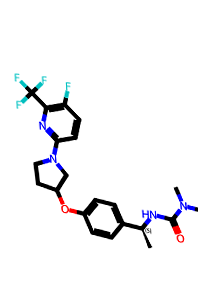 C[C@H](NC(=O)N(C)C)c1ccc(OC2CCN(c3ccc(F)c(C(F)(F)F)n3)C2)cc1